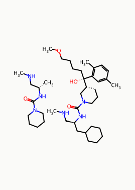 CNC[C@H](C)NC(=O)N1CCCCC1.CNC[C@H](CC1CCCCC1)NC(=O)N1CCC[C@@H]([C@@](O)(CCCCOC)c2cc(C)ccc2C)C1